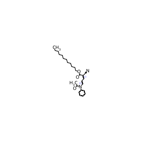 CCCCCCCCCCCCOC(=O)/C(C#N)=C\C=C\N(C(C)=O)c1ccccc1